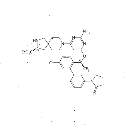 CCOC(=O)[C@@H]1CC2(CCN(c3cc(O[C@H](c4ccc(Cl)cc4-c4cccc(N5CCCC5=O)c4)C(F)(F)F)nc(N)n3)CC2)CN1